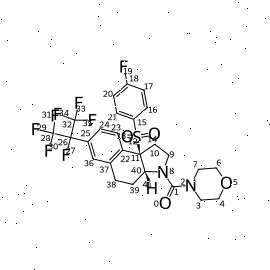 O=C(N1CCOCC1)N1CC[C@@]2(S(=O)(=O)c3ccc(F)cc3)c3ccc(C(F)(C(F)(F)F)C(F)(F)F)cc3CC[C@@H]12